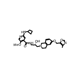 COc1cnc(NC2CCC2)cc1C(=O)NC[C@H](O)CN1CCc2cc(OCc3ocnc3C)ccc2C1